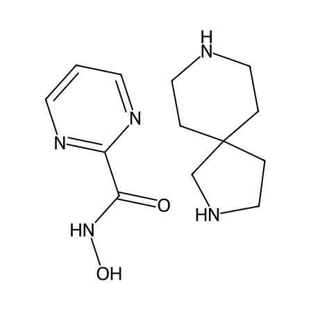 C1CC2(CCN1)CCNC2.O=C(NO)c1ncccn1